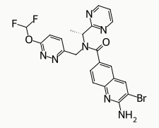 C[C@H](c1ncccn1)N(Cc1ccc(OC(F)F)nn1)C(=O)c1ccc2nc(N)c(Br)cc2c1